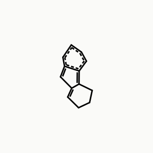 C1=C2C=c3ccccc3=C2CCC1